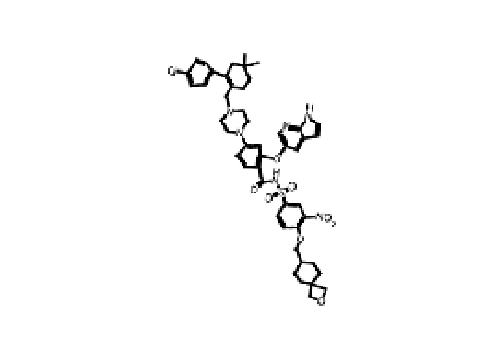 CC1(C)CCC(CN2CCN(c3ccc(C(=O)NS(=O)(=O)c4ccc(OCC5CCC6(CC5)COC6)c([N+](=O)[O-])c4)c(Oc4cnc5[nH]ccc5c4)c3)CC2)=C(c2ccc(Cl)cc2)C1